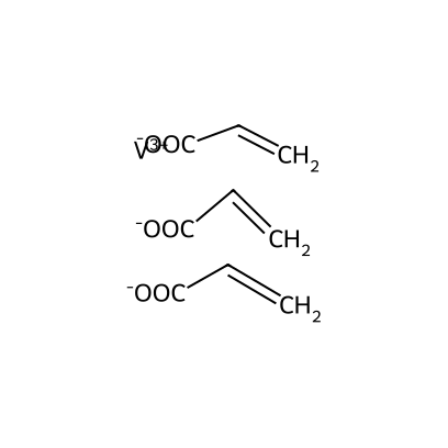 C=CC(=O)[O-].C=CC(=O)[O-].C=CC(=O)[O-].[V+3]